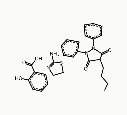 CCCCC1C(=O)N(c2ccccc2)N(c2ccccc2)C1=O.NC1=NCCS1.O=C(O)c1ccccc1O